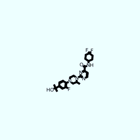 CC1CN(c2ccc(C(C)(C)O)cc2F)CCN1c1nccc(C(=O)NC2CCC(F)(F)CC2)n1